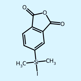 C[Si](C)(I)c1ccc2c(c1)C(=O)OC2=O